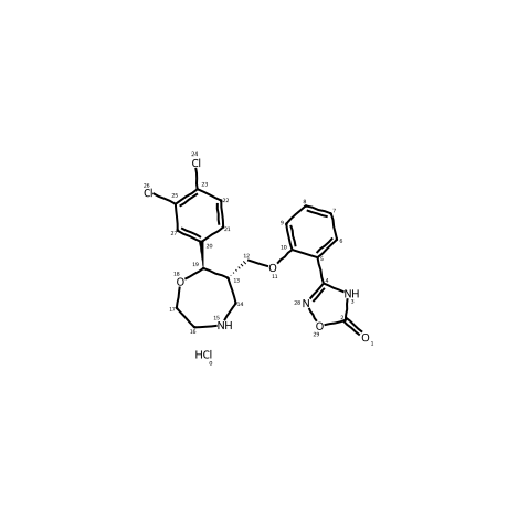 Cl.O=c1[nH]c(-c2ccccc2OC[C@@H]2CNCCO[C@H]2c2ccc(Cl)c(Cl)c2)no1